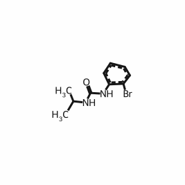 CC(C)NC(=O)Nc1ccccc1Br